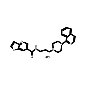 Cl.O=C(NCCCN1CCN(c2nccc3ccccc23)CC1)c1cnc2ccoc2c1